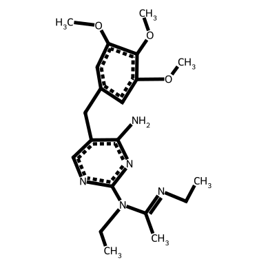 CCN=C(C)N(CC)c1ncc(Cc2cc(OC)c(OC)c(OC)c2)c(N)n1